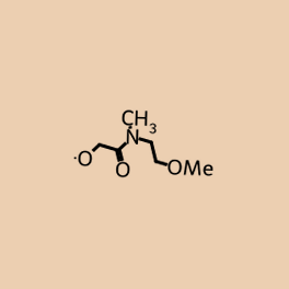 COCCN(C)C(=O)C[O]